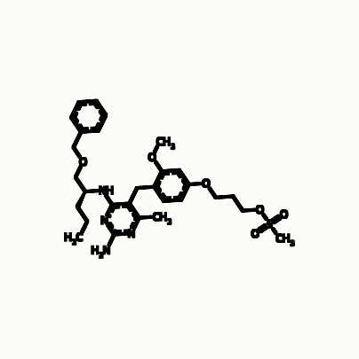 CCC[C@@H](COCc1ccccc1)Nc1nc(N)nc(C)c1Cc1ccc(OCCCOS(C)(=O)=O)cc1OC